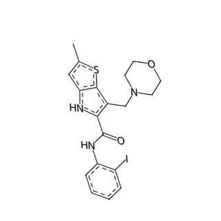 Cc1cc2[nH]c(C(=O)Nc3ccccc3I)c(CN3CCOCC3)c2s1